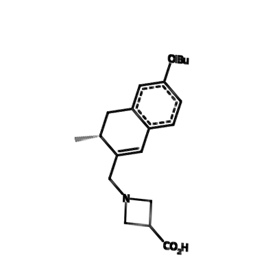 CC(C)COc1ccc2c(c1)C[C@@H](C)C(CN1CC(C(=O)O)C1)=C2